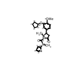 COc1ccc(C2CC(=O)N(C(=O)N(C)c3cccs3)N2C)cc1OC1CCCC1